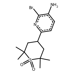 CC1(C)CC(c2ccc(N)c(Br)n2)CC(C)(C)S1(=O)=O